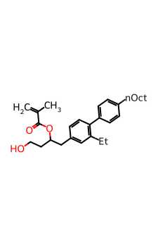 C=C(C)C(=O)OC(CCO)Cc1ccc(-c2ccc(CCCCCCCC)cc2)c(CC)c1